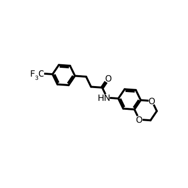 O=C(CCc1ccc(C(F)(F)F)cc1)Nc1ccc2c(c1)OCCO2